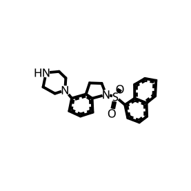 O=S(=O)(c1cccc2ccccc12)N1CCc2c(N3CCNCC3)cccc21